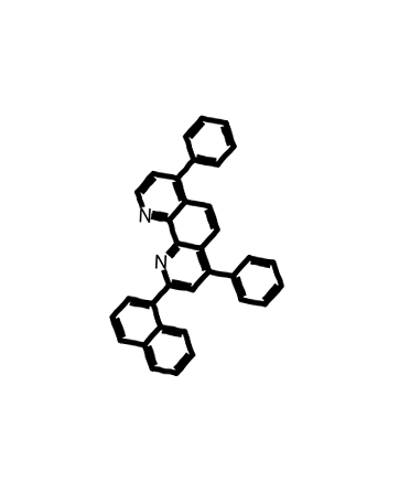 c1ccc(-c2ccnc3c2ccc2c(-c4ccccc4)cc(-c4cccc5ccccc45)nc23)cc1